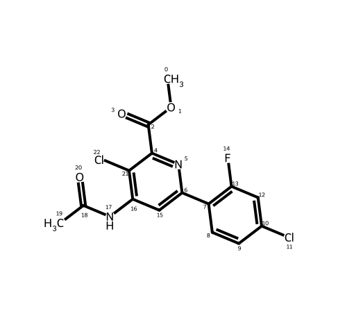 COC(=O)c1nc(-c2ccc(Cl)cc2F)cc(NC(C)=O)c1Cl